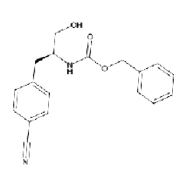 N#Cc1ccc(C[C@@H](CO)NC(=O)OCc2ccccc2)cc1